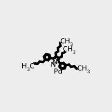 CCCCCCC1=C(c2cccc(CCCCC)c2)[N+](=[N-])C(c2cccc(CCCCC)c2)=C1CCCC.[Pd]